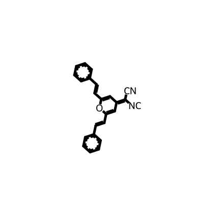 [C-]#[N+]C(C#N)=C1C=C(/C=C/c2ccccc2)OC(/C=C/c2ccccc2)=C1